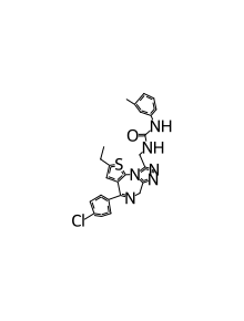 CCc1cc2c(s1)-n1c(nnc1CNC(=O)Nc1cccc(C)c1)CN=C2c1ccc(Cl)cc1